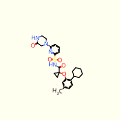 Cc1ccc(C2CCCCC2)c(OC2(C(=O)NS(=O)(=O)c3cccc(N4CCNC(=O)C4)n3)CC2)c1